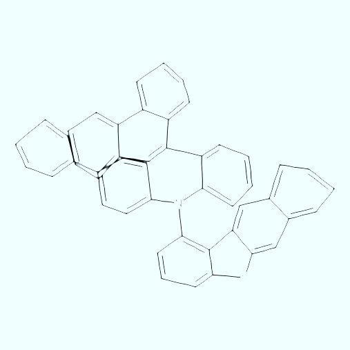 c1ccc(-c2ccc(N(c3ccccc3-c3cc4ccccc4c4ccccc34)c3cccc4sc5cc6ccccc6cc5c34)cc2)cc1